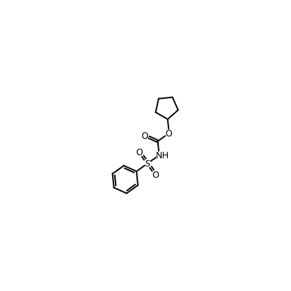 O=C(NS(=O)(=O)c1ccccc1)OC1CCCC1